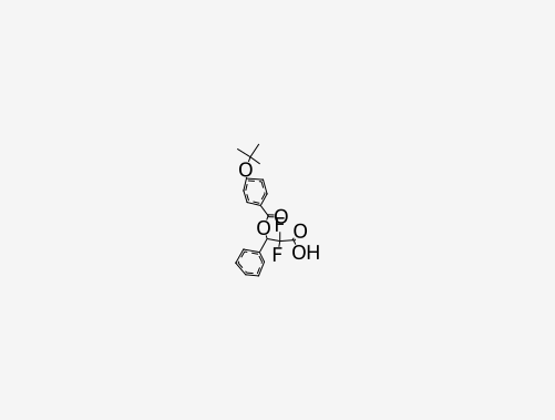 CC(C)(C)Oc1ccc(C(=O)OC(c2ccccc2)C(F)(F)C(=O)O)cc1